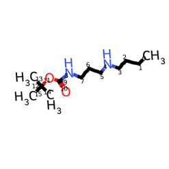 CCCCNCCCNC(=O)OC(C)(C)C